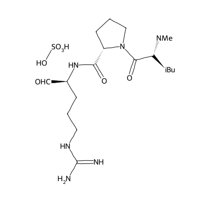 CC[C@H](C)[C@@H](NC)C(=O)N1CCC[C@H]1C(=O)N[C@H](C=O)CCCNC(=N)N.O=S(=O)(O)O